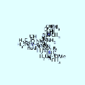 CCCCc1nn(-c2nc(-n3nc(CCCC)c(/N=N/c4c(C(=O)OC)c(C)nn4C)c3N)nc(-n3nc(CCCC)c(/N=N/c4c(C(=O)OC)c(C)nn4C)c3N)n2)c(N)c1/N=N/c1nn(C)c(C)c1C(=O)CO